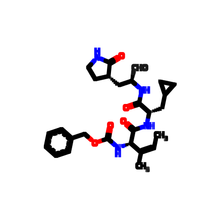 C/C=C(/C)[C@H](NC(=O)OCc1ccccc1)C(=O)N[C@@H](CC1CC1)C(=O)N[C@H](C=O)C[C@@H]1CCNC1=O